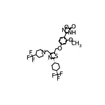 COc1cc(OCc2sc([C@H]3CC[C@H](C(F)(F)F)CC3)nc2CN2CCC(C(F)(F)F)CC2)ccc1-c1noc(=O)[nH]1